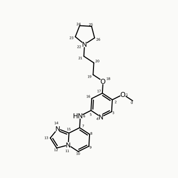 COc1cnc(Nc2cccn3ccnc23)cc1OCCCN1CCCC1